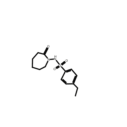 CCc1ccc(S(=O)(=O)NN2CCCCCC2=O)cc1